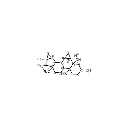 CC12CCC(O)CC1(O)[C@@H]1C[C@@H]1C1C2CCC2(C)C1C1C[C@@H]1[C@@]21CO1